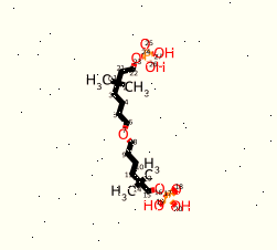 CC(C)(CCCCOCCCCC(C)(C)COP(=O)(O)O)CCOP(=O)(O)O